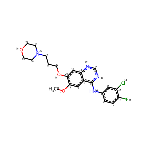 COc1cc2c(Nc3ccc(F)c(Cl)c3)ncnc2cc1OCCCN1CCOCC1